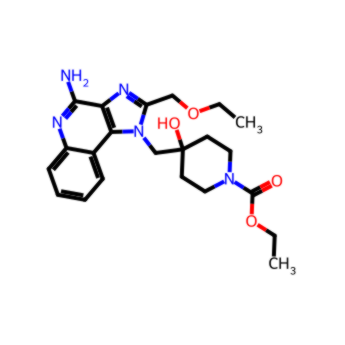 CCOCc1nc2c(N)nc3ccccc3c2n1CC1(O)CCN(C(=O)OCC)CC1